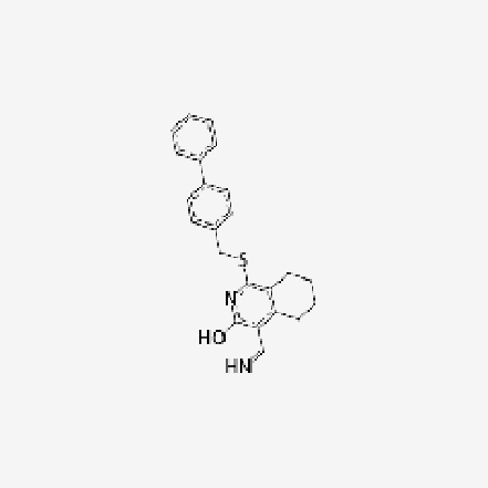 N=Cc1c(O)nc(SCc2ccc(-c3ccccc3)cc2)c2c1CCCC2